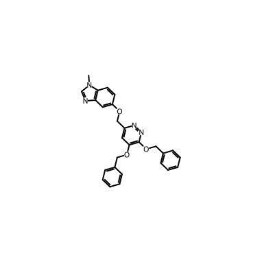 Cn1cnc2cc(OCc3cc(OCc4ccccc4)c(OCc4ccccc4)nn3)ccc21